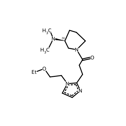 CCOCCn1ccnc1CCC(=O)N1CCC[C@H](N(C)C)C1